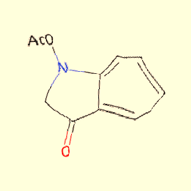 CC(=O)ON1CC(=O)c2ccccc21